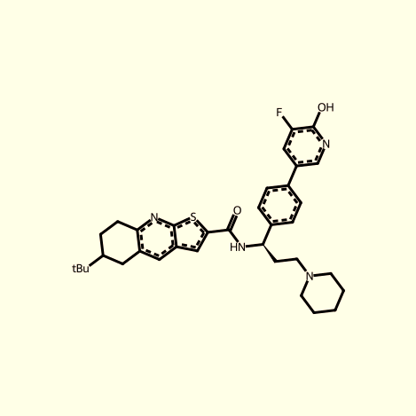 CC(C)(C)C1CCc2nc3sc(C(=O)N[C@H](CCN4CCCCC4)c4ccc(-c5cnc(O)c(F)c5)cc4)cc3cc2C1